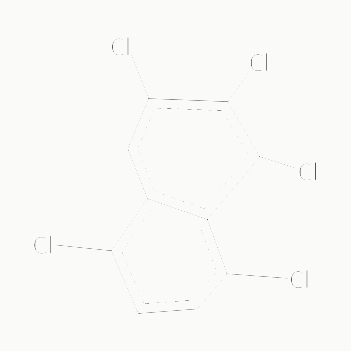 Clc1cc2c(Cl)ccc(Cl)c2c(Cl)c1Cl